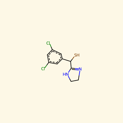 SC(C1=NCCN1)c1cc(Cl)cc(Cl)c1